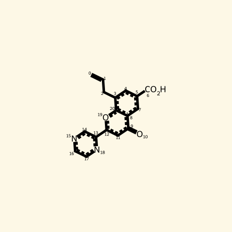 C=CCc1cc(C(=O)O)cc2c(=O)cc(-c3cnccn3)oc12